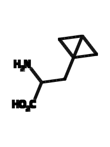 NC(CC12CC1C2)C(=O)O